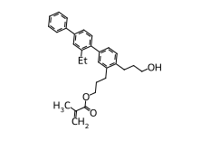 C=C(C)C(=O)OCCCc1cc(-c2ccc(-c3ccccc3)cc2CC)ccc1CCCO